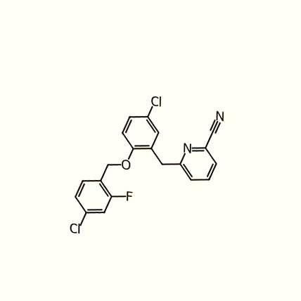 N#Cc1cccc(Cc2cc(Cl)ccc2OCc2ccc(Cl)cc2F)n1